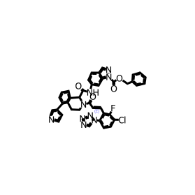 O=C(Nc1ccc2cnn(C(=O)OCc3ccccc3)c2c1)C1c2cccc(-c3ccncc3)c2CCN1C(=O)/C=C/c1c(-n2cnnn2)ccc(Cl)c1F